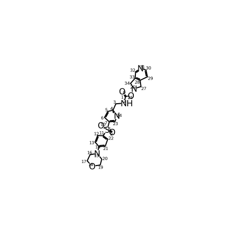 O=C(NCc1ccc(S(=O)(=O)c2ccc(N3CCOCC3)cc2)cn1)ON1Cc2ccncc2C1